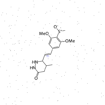 COc1cc(/C=C/C2NNC(=O)CC2C)cc(OC)c1[S+](C)[O-]